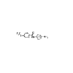 NC12CCC(NC(=O)c3ccc(OC(F)(F)F)cn3)(CC1)CC2